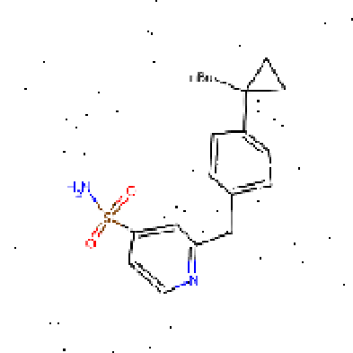 CCCCC1(c2ccc(Cc3cc(S(N)(=O)=O)ccn3)cc2)CC1